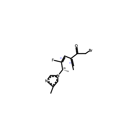 C/C=C(\C=C(\F)[C@H](C)n1cnc(C)c1)C(=O)CBr